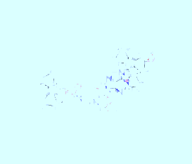 COC(=O)CN(CCNC(=O)OCC1c2ccccc2-c2ccccc21)C(=O)Cn1cnc2c(NC(c3ccccc3)(c3ccccc3)c3ccc(OC)cc3)ncnc21